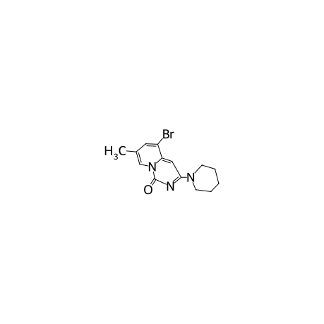 Cc1cc(Br)c2cc(N3CCCCC3)nc(=O)n2c1